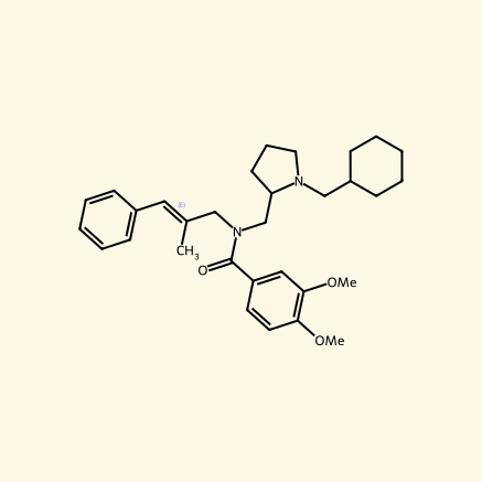 COc1ccc(C(=O)N(C/C(C)=C/c2ccccc2)CC2CCCN2CC2CCCCC2)cc1OC